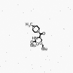 CN1CCN(C(=O)[C@@H](COCC(C)(C)C)NC(=O)OC(C)(C)C)CC1